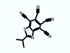 CC(C)c1nc2c(C#N)c(C#N)c(C#N)c(C#N)c2s1